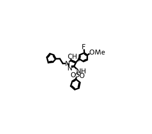 COc1ccc(-c2c(NS(=O)(=O)c3ccccc3)nn(CCc3ccccc3)c2C)cc1F